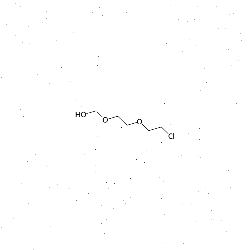 OCOCCOCCCl